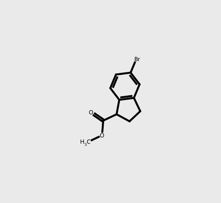 COC(=O)C1CCc2cc(Br)ccc21